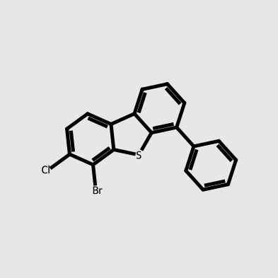 Clc1ccc2c(sc3c(-c4ccccc4)cccc32)c1Br